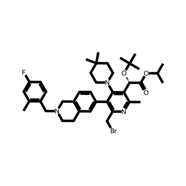 Cc1cc(F)ccc1CN1CCc2cc(-c3c(CBr)nc(C)c([C@H](OC(C)(C)C)C(=O)OC(C)C)c3N3CCC(C)(C)CC3)ccc2C1